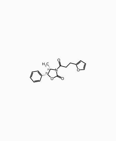 C[C@H]1[C@@H](c2ccccc2)OC(=O)N1C(=O)CCc1ccco1